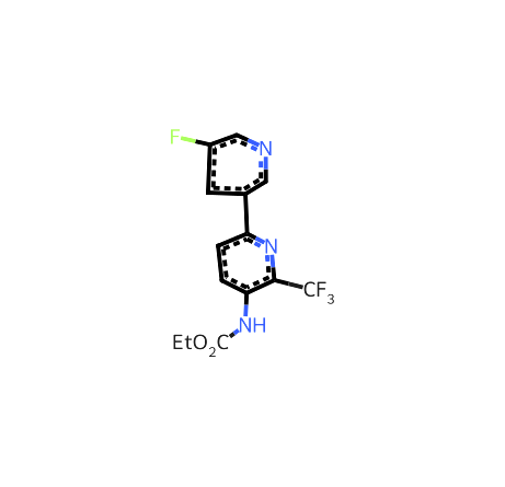 CCOC(=O)Nc1ccc(-c2cncc(F)c2)nc1C(F)(F)F